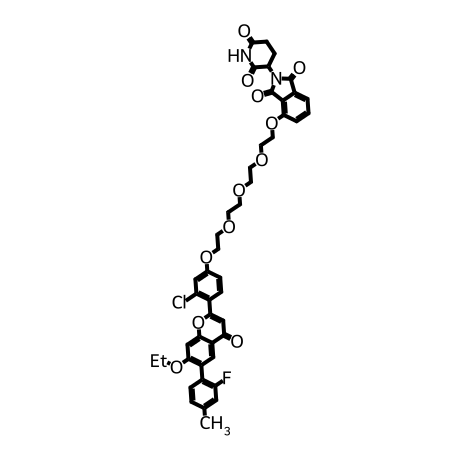 CCOc1cc2oc(-c3ccc(OCCOCCOCCOCCOc4cccc5c4C(=O)N(C4CCC(=O)NC4=O)C5=O)cc3Cl)cc(=O)c2cc1-c1ccc(C)cc1F